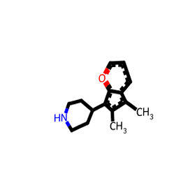 Cc1c2cccoc-2c(C2CCNCC2)c1C